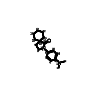 CN(C)c1ccc(N2CCC3(CCCCC3)C2=O)cc1